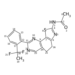 CC(=O)Nc1nc2c(s1)-c1nc(-c3ccccc3C(C)(F)F)ncc1CC2